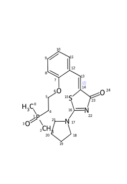 CP(C)(=O)CCOc1ccccc1/C=C1\SC(N2CCCC2)=NC1=O